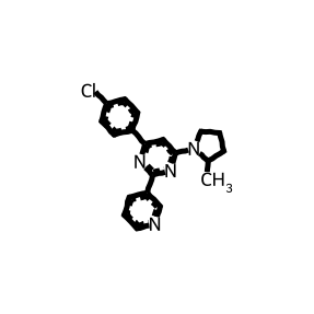 CC1CCCN1c1cc(-c2ccc(Cl)cc2)nc(-c2cccnc2)n1